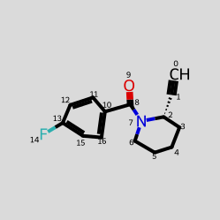 C#C[C@@H]1CCCCN1C(=O)c1ccc(F)cc1